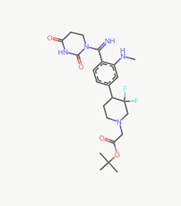 CNc1cc(C2CCN(CC(=O)OC(C)(C)C)CC2(F)F)ccc1C(=N)N1CCC(=O)NC1=O